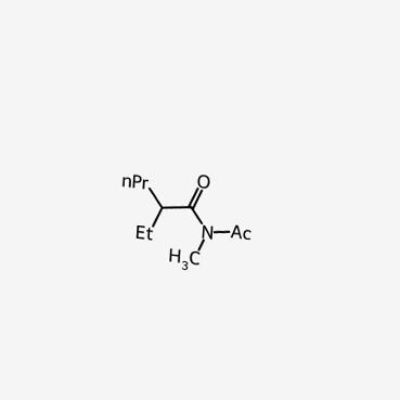 CCCC(CC)C(=O)N(C)C(C)=O